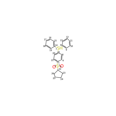 O=S(=O)(c1ccc([SH](c2ccccc2)c2ccccc2)cc1)C1CCCC1